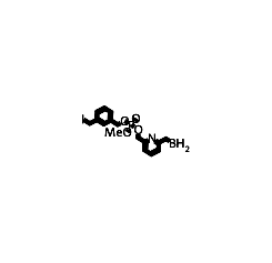 BCc1cccc(COP(=O)(OC)OCc2cccc(CI)c2)n1